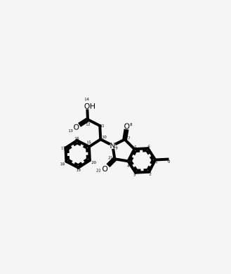 Cc1ccc2c(c1)C(=O)N(C(CC(=O)O)c1ccccc1)C2=O